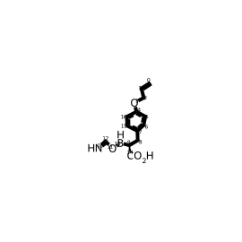 C=CCOc1ccc(C[C@H](BOC=N)C(=O)O)cc1